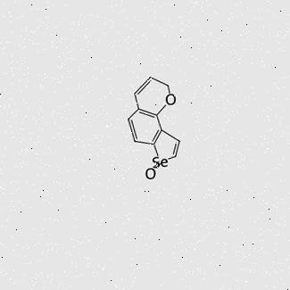 O=[Se]1C=Cc2c1ccc1c2OCC=C1